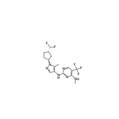 CNc1nc(Nc2cnn([C@H]3CC[C@H](C(F)F)C3)c2C)ncc1C(F)(F)F